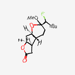 CCCCC(F)C1(OC)CC[C@@H]2[C@H]3CC(=O)O[C@H]3C[C@H]2O1